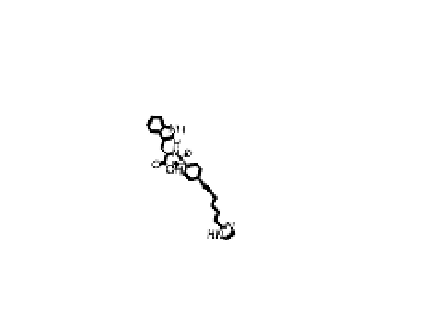 O=C(O)[C@@H](Cc1c[nH]c2ccccc12)NS(=O)(=O)c1ccc(C#CCCCCc2ncc[nH]2)cc1